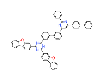 c1ccc(-c2ccc(-c3cc(-c4cccc(-c5cccc(-c6nc(-c7ccc8c(c7)oc7ccccc78)nc(-c7ccc8c(c7)oc7ccccc78)n6)c5)c4)nc(-c4ccccc4)n3)cc2)cc1